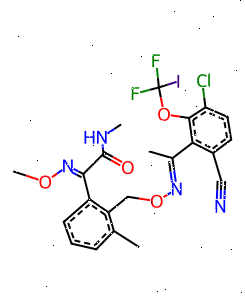 CNC(=O)/C(=N/OC)c1cccc(C)c1CO/N=C(\C)c1c(C#N)ccc(Cl)c1OC(F)(F)I